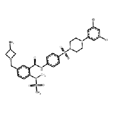 CN(c1ccc(CN2CC(N)C2)cc1C(=O)Nc1ccc(S(=O)(=O)N2CCN(c3cc(Cl)cc(Cl)c3)CC2)cc1)S(C)(=O)=O